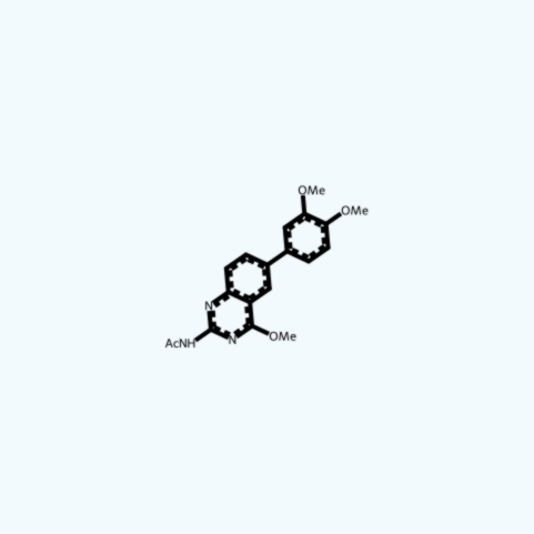 COc1ccc(-c2ccc3nc(NC(C)=O)nc(OC)c3c2)cc1OC